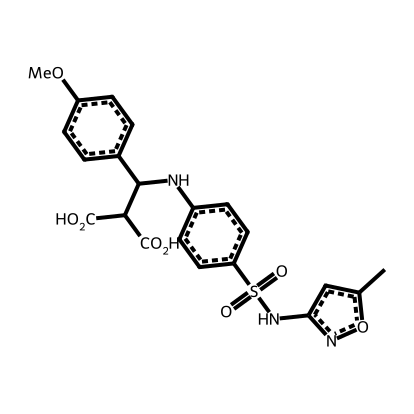 COc1ccc(C(Nc2ccc(S(=O)(=O)Nc3cc(C)on3)cc2)C(C(=O)O)C(=O)O)cc1